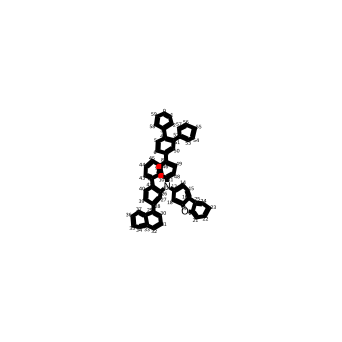 c1ccc(-c2ccc(-c3ccc(N(c4ccc5c(c4)oc4ccccc45)c4cc(-c5cccc6ccccc56)ccc4-c4ccccc4)cc3)cc2-c2ccccc2)cc1